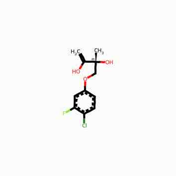 C=C(O)[C@](C)(O)COc1ccc(Cl)c(F)c1